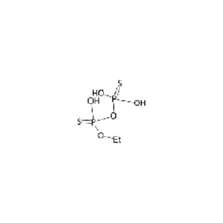 CCOP(O)(=S)OP(O)(O)=S